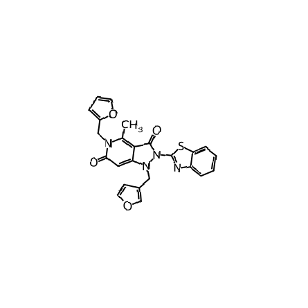 Cc1c2c(=O)n(-c3nc4ccccc4s3)n(Cc3ccoc3)c2cc(=O)n1Cc1ccco1